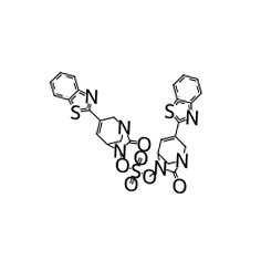 O=C1N2CC(c3nc4ccccc4s3)=CC(C2)N1OS(=O)(=O)ON1C(=O)N2CC(c3nc4ccccc4s3)=CC1C2